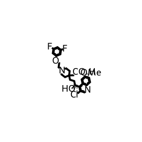 COc1ccc2ncc(Cl)c([C@@H](O)CCC3(CC(=O)O)CCN(CCOc4cc(F)cc(F)c4)CC3)c2c1